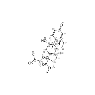 COC(=O)[C@@]1(OC(=O)C(Cl)Cl)[C@@H](C)C[C@H]2[C@@H]3CCC4=CC(=O)C=C[C@]4(C)[C@@]3(F)[C@@H](O)C[C@@]21C